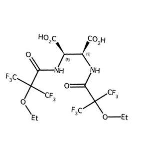 CCOC(C(=O)N[C@H](C(=O)O)[C@@H](NC(=O)C(OCC)(C(F)(F)F)C(F)(F)F)C(=O)O)(C(F)(F)F)C(F)(F)F